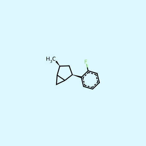 C[C@H]1C[C@@H](c2ccccc2F)C2CC21